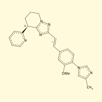 COc1cc(/C=C/c2nc3n(n2)CCC[C@@H]3c2ccccn2)ccc1-n1cnc(C)c1